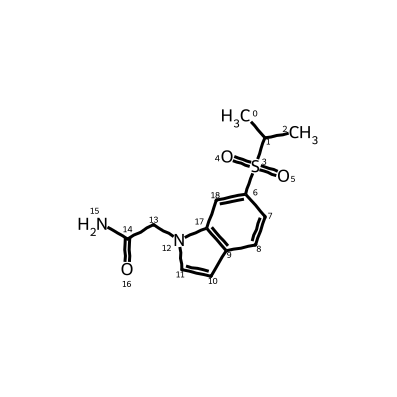 CC(C)S(=O)(=O)c1ccc2ccn(CC(N)=O)c2c1